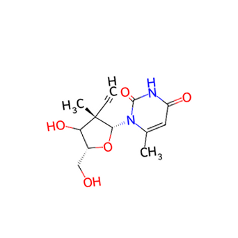 C#C[C@@]1(C)C(O)[C@@H](CO)O[C@H]1n1c(C)cc(=O)[nH]c1=O